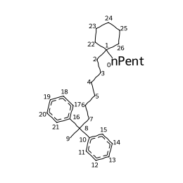 CCCCCC1(CCCCCCC(C)(c2ccccc2)c2ccccc2)CCCCC1